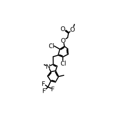 COC(=O)COc1ccc(Cl)c(Cc2cc3c(C)cc(C(F)(F)F)cc3n2C)c1Cl